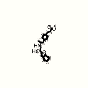 COC(=O)CCc1ccc(CC(C)NCC(O)c2cc3ccccc3o2)cc1